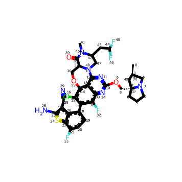 C[C@H]1CN2CCC[C@@]2(COc2nc3c4c(c(Cl)c(-c5ccc(F)c6sc(N)c(C#N)c56)c(F)c4n2)OCC2C(=O)N(C)C(CC(F)F)CN32)C1